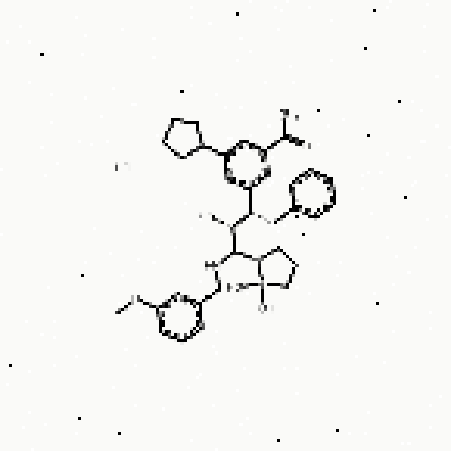 COc1cccc(CNC([C@H](O)[C@@H](Cc2ccccc2)c2cc(C(N)=O)cc(C3CCCC3)c2)N2CCCS2(O)O)c1.Cl